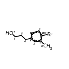 Cc1cc(CCCO)ccc1Br